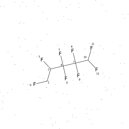 F[CH]C(F)C(F)(F)C(F)(F)C(F)F